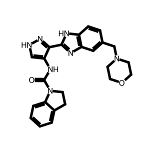 O=C(Nc1c[nH]nc1-c1nc2cc(CN3CCOCC3)ccc2[nH]1)N1CCc2ccccc21